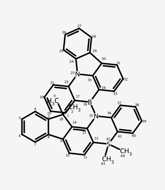 CC1(C)c2ccccc2-c2ccc3c(c21)N(B1c2ccccc2-n2c4ccccc4c4cccc1c42)c1ccccc1S3(C)C